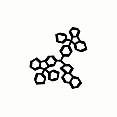 c1ccc(C2(c3ccc(N(c4ccc5c(c4)C(c4ccccc4)(c4ccccc4)c4ccccc4-5)c4ccc5c(ccc6ccccc65)c4)cc3)c3ccccc3-c3ccccc32)cc1